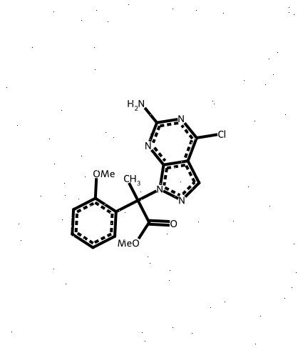 COC(=O)C(C)(c1ccccc1OC)n1ncc2c(Cl)nc(N)nc21